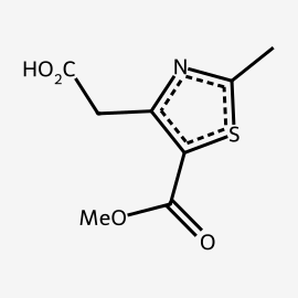 COC(=O)c1sc(C)nc1CC(=O)O